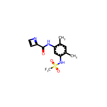 Cc1cc(C)c(NS(=O)(=O)C(F)(F)F)cc1NC(=O)C1=NC=C1